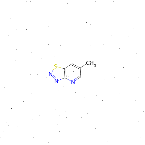 Cc1cnc2nnsc2c1